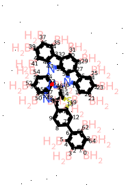 Bc1c(B)c(B)c(-c2ccc3c(c2)sc2c(-n4c5c(B)c(B)c(B)c(B)c5c5c(B)c(B)c6c7c(B)c(B)c(B)c(B)c7n(-c7c(B)c(B)c(B)c(B)c7B)c6c54)ncnc23)c(B)c1B